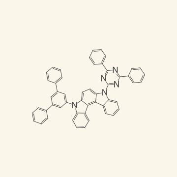 c1ccc(-c2cc(-c3ccccc3)cc(-n3c4ccccc4c4c5c6ccccc6n(-c6nc(-c7ccccc7)nc(-c7ccccc7)n6)c5ccc43)c2)cc1